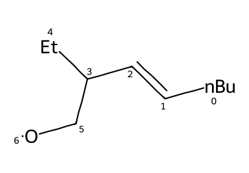 CCCCC=CC(CC)C[O]